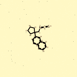 S=C=NCC1(c2ccc3ccccc3c2)CCCC1